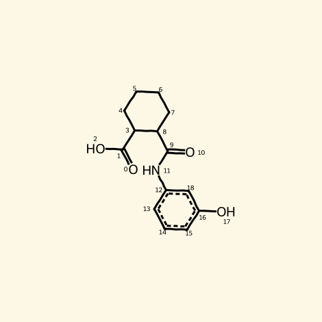 O=C(O)C1CCCCC1C(=O)Nc1cccc(O)c1